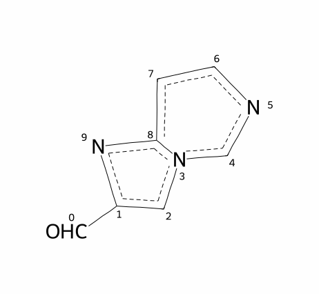 O=Cc1cn2cnccc2n1